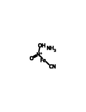 N.N#[C][Fe][N+](=O)O